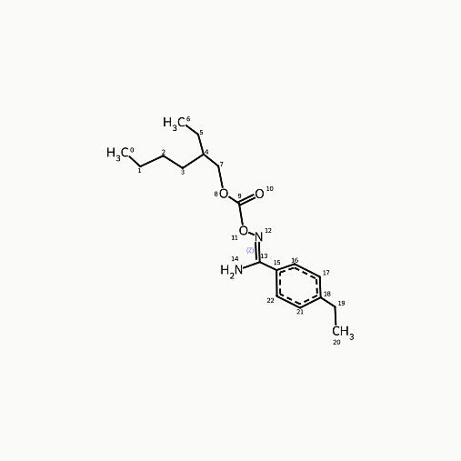 CCCCC(CC)COC(=O)O/N=C(\N)c1ccc(CC)cc1